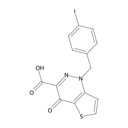 O=C(O)c1nn(Cc2ccc(I)cc2)c2ccsc2c1=O